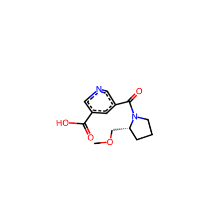 COC[C@H]1CCCN1C(=O)c1cncc(C(=O)O)c1